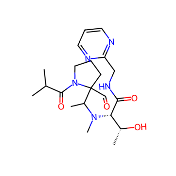 CC(C)C(=O)N1CCCC1(C=O)C(C)N(C)[C@H](C(=O)NCc1ncccn1)[C@@H](C)O